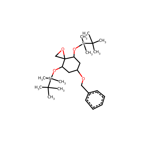 CC(C)(C)[Si](C)(C)OC1CC(OCc2ccccc2)CC(O[Si](C)(C)C(C)(C)C)C12CO2